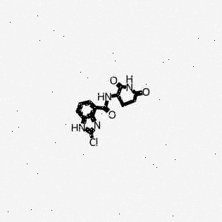 O=C1CCC(NC(=O)c2cccc3[nH]c(Cl)nc23)C(=O)N1